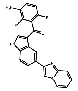 Nc1ccc(F)c(C(=O)c2c[nH]c3ncc(-c4cn5ccccc5n4)cc23)c1F